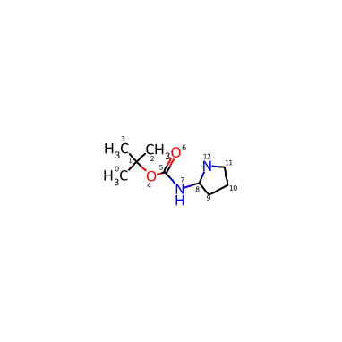 CC(C)(C)OC(=O)NC1CCC[N]1